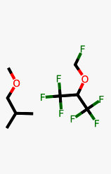 COCC(C)C.FCOC(C(F)(F)F)C(F)(F)F